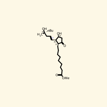 CCCC[C@](C)(O)C/C=C/[C@@H]1[C@H](CCCCCCCCC(=O)OC)C(=O)C[C@@H]1O